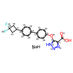 O=C(O)c1nn[nH]c1Oc1ccc(-c2ccc(C3CC(F)(F)C3)cc2)cc1.[NaH]